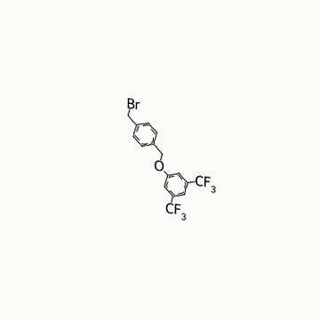 FC(F)(F)c1cc(OCc2ccc(CBr)cc2)cc(C(F)(F)F)c1